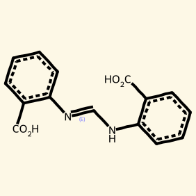 O=C(O)c1ccccc1/N=C/Nc1ccccc1C(=O)O